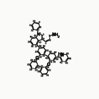 NC/C=C\c1cn(-c2ccccc2)c2cccc(-c3ccc4c(c3)Oc3ccccc3-c3ccccc3Oc3cc(C5=CC=CCN5)ccc3-4)c12